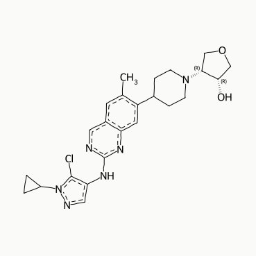 Cc1cc2cnc(Nc3cnn(C4CC4)c3Cl)nc2cc1C1CCN([C@@H]2COC[C@@H]2O)CC1